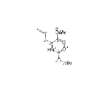 C=CCC(NC(=O)OC(C)(C)C)C(=O)OC